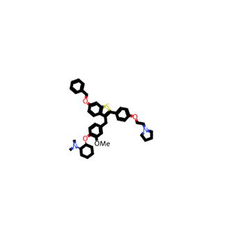 COc1cc(Cc2c(-c3ccc(OCCN4CCCC4)cc3)sc3cc(OCc4ccccc4)ccc23)ccc1O[C@@H]1CCCC[C@H]1N(C)C